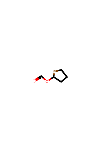 O=COC1CCCS1